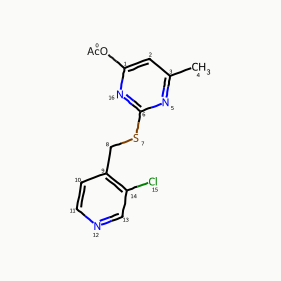 CC(=O)Oc1cc(C)nc(SCc2ccncc2Cl)n1